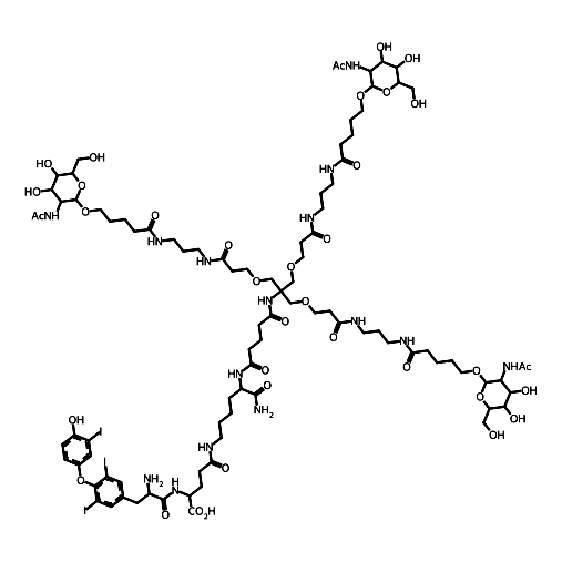 CC(=O)NC1C(OCCCCC(=O)NCCCNC(=O)CCOCC(COCCC(=O)NCCCNC(=O)CCCCOC2OC(CO)C(O)C(O)C2NC(C)=O)(COCCC(=O)NCCCNC(=O)CCCCOC2OC(CO)C(O)C(O)C2NC(C)=O)NC(=O)CCCC(=O)NC(CCCCNC(=O)CCC(NC(=O)C(N)Cc2cc(I)c(Oc3ccc(O)c(I)c3)c(I)c2)C(=O)O)C(N)=O)OC(CO)C(O)C1O